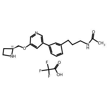 CC(=O)NCCCc1cccc(-c2cncc(OC[C@@H]3CCN3)c2)c1.O=C(O)C(F)(F)F